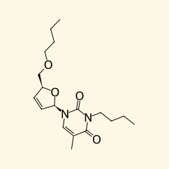 CCCCOC[C@@H]1C=C[C@H](n2cc(C)c(=O)n(CCCC)c2=O)O1